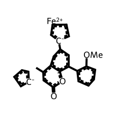 COc1ccccc1-c1cc(-[c-]2cccc2)cc2c(C)cc(=O)oc12.[Fe+2].c1cc[cH-]c1